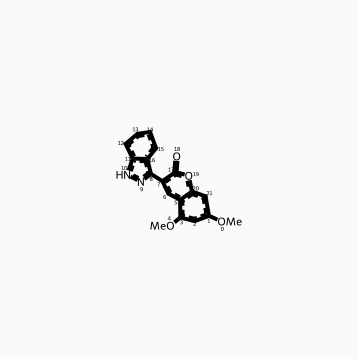 COc1cc(OC)c2cc(-c3n[nH]c4ccccc34)c(=O)oc2c1